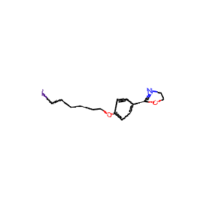 ICCCCCCOc1ccc(C2=NCCO2)cc1